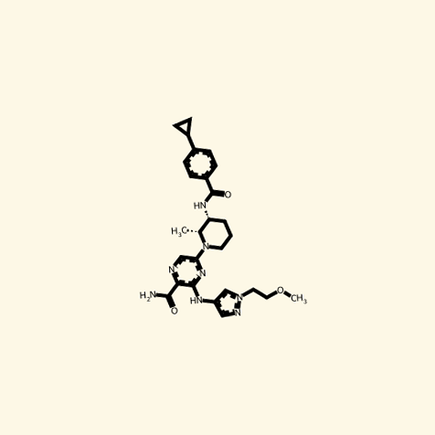 COCCn1cc(Nc2nc(N3CCC[C@@H](NC(=O)c4ccc(C5CC5)cc4)[C@H]3C)cnc2C(N)=O)cn1